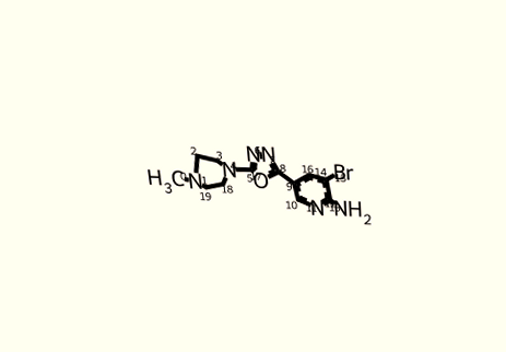 CN1CCN(c2nnc(-c3cnc(N)c(Br)c3)o2)CC1